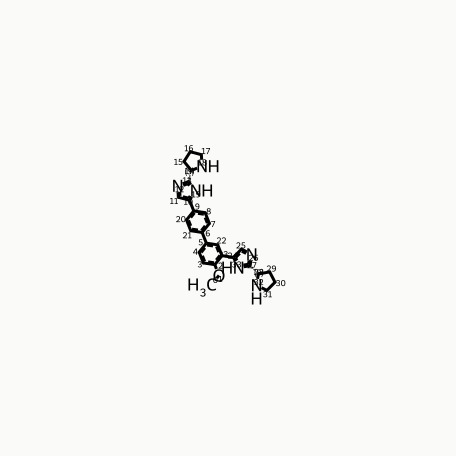 COc1ccc(-c2ccc(-c3cnc([C@@H]4CCCN4)[nH]3)cc2)cc1-c1cnc([C@@H]2CCCN2)[nH]1